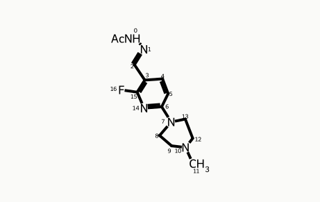 CC(=O)NN=Cc1ccc(N2CCN(C)CC2)nc1F